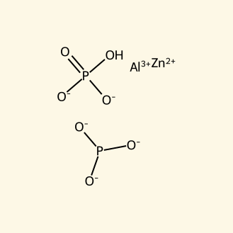 O=P([O-])([O-])O.[Al+3].[O-]P([O-])[O-].[Zn+2]